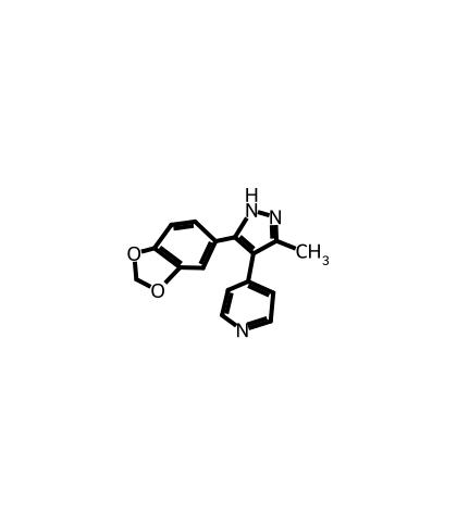 Cc1n[nH]c(-c2ccc3c(c2)OCO3)c1-c1ccncc1